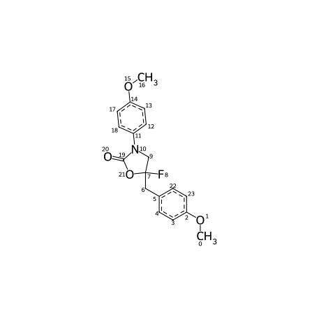 COc1ccc(CC2(F)CN(c3ccc(OC)cc3)C(=O)O2)cc1